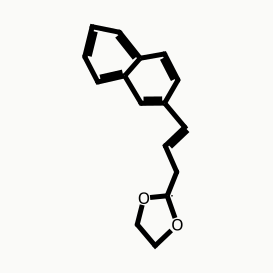 C(=Cc1ccc2ccccc2c1)C[C]1OCCO1